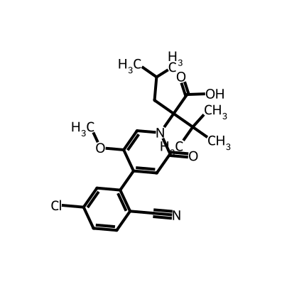 COc1cn(C(CC(C)C)(C(=O)O)C(C)(C)C)c(=O)cc1-c1cc(Cl)ccc1C#N